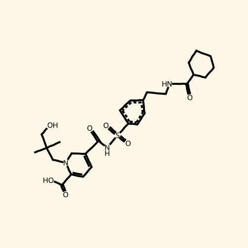 CC(C)(CO)CN1CC(C(=O)NS(=O)(=O)c2ccc(CCNC(=O)C3CCCCC3)cc2)=CC=C1C(=O)O